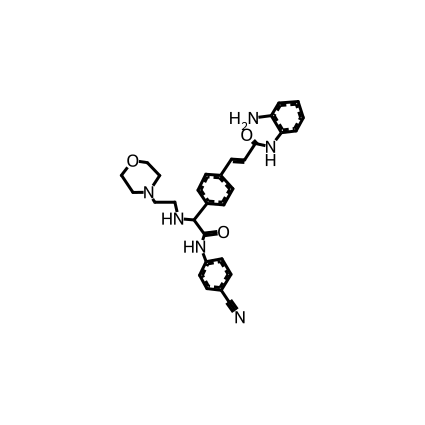 N#Cc1ccc(NC(=O)C(NCCN2CCOCC2)c2ccc(C=CC(=O)Nc3ccccc3N)cc2)cc1